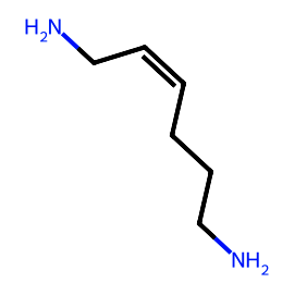 NC/C=C\CCCN